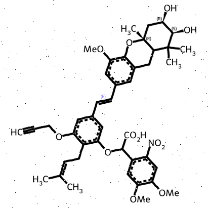 C#CCOc1cc(/C=C/c2cc3c(c(OC)c2)O[C@]2(C)C[C@@H](O)[C@@H](O)C(C)(C)C2C3)cc(OC(C(=O)O)c2cc(OC)c(OC)cc2[N+](=O)[O-])c1CC=C(C)C